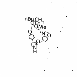 CCCCC(C)(CC)OCCCOc1ccc(C2CCNC[C@@H]2OCc2ccc3c(c2)N(CCCOC)CCO3)cc1